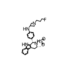 C[C@@H]1Cc2c([nH]c3ccccc23)[C@H](c2ccc(NC3CN(CCCF)C3)cc2)N1C[SH](=O)=O